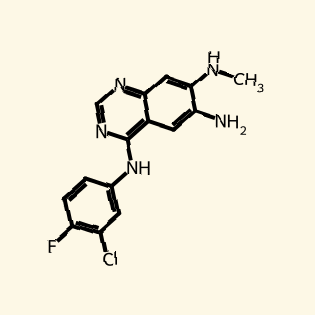 CNc1cc2ncnc(Nc3ccc(F)c(Cl)c3)c2cc1N